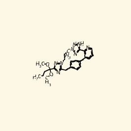 CCCn1nc(C(CCC)(OC)OC)nc1Cc1ccc(-c2cccnc2-c2nnn[nH]2)cc1